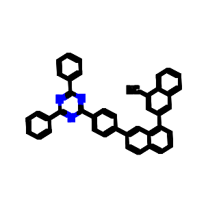 N#Cc1cc(-c2cccc3ccc(-c4ccc(-c5nc(-c6ccccc6)nc(-c6ccccc6)n5)cc4)cc23)cc2ccccc12